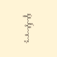 N=C(N)NCCC[C@@H](N)C(=O)NCCCCNCCCN